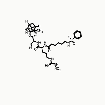 CC(C)C[C@H](NC(=O)[C@H](CCCNC(=N)N[N+](=O)[O-])NC(=O)CCCCCNS(=O)(=O)c1ccccc1)B1O[C@@H]2C[C@@H]3C[C@@H](C3(C)C)[C@]2(C)O1